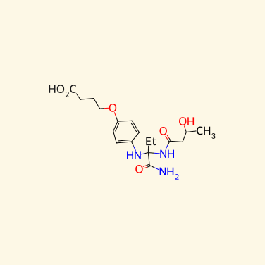 CCC(NC(=O)CC(C)O)(Nc1ccc(OCCCC(=O)O)cc1)C(N)=O